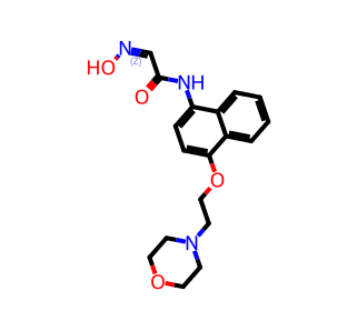 O=C(/C=N\O)Nc1ccc(OCCN2CCOCC2)c2ccccc12